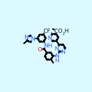 CC(=O)O.Cc1cn(-c2cc(NC(=O)c3ccc(C)c(Nc4nccc(-c5cccnc5)n4)c3)cc(C(F)(F)F)c2)cn1